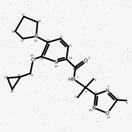 Cc1nc(C(C)(C)NC(=O)c2ccc(N3CCCC3)c(OCC3CC3)n2)no1